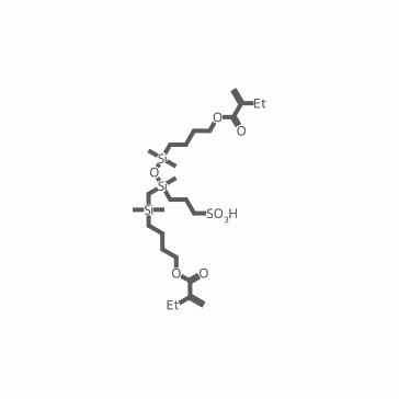 C=C(CC)C(=O)OCCCC[Si](C)(C)C[Si](C)(CCCS(=O)(=O)O)O[Si](C)(C)CCCCOC(=O)C(=C)CC